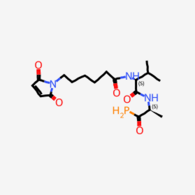 CC(C)[C@H](NC(=O)CCCCCN1C(=O)C=CC1=O)C(=O)N[C@@H](C)C(=O)P